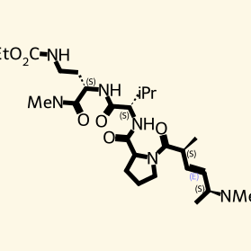 CCOC(=O)NCC[C@H](NC(=O)[C@@H](NC(=O)C1CCCN1C(=O)[C@@H](C)/C=C/[C@H](C)NC)C(C)C)C(=O)NC